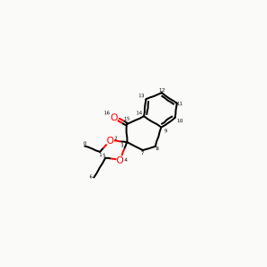 CCOC1(OCC)CCc2ccccc2C1=O